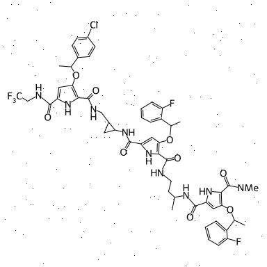 CNC(=O)c1[nH]c(C(=O)NC(C)CCNC(=O)c2[nH]c(C(=O)NC3CC3CNC(=O)c3[nH]c(C(=O)NCC(F)(F)F)cc3OC(C)c3ccc(Cl)cc3)cc2OC(C)c2ccccc2F)cc1OC(C)c1ccccc1F